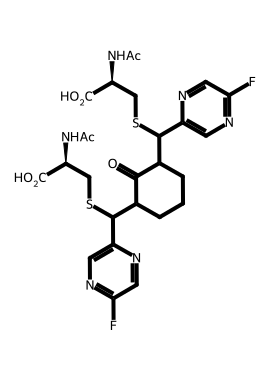 CC(=O)N[C@@H](CSC(c1cnc(F)cn1)C1CCCC(C(SC[C@H](NC(C)=O)C(=O)O)c2cnc(F)cn2)C1=O)C(=O)O